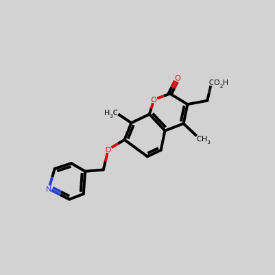 Cc1c(CC(=O)O)c(=O)oc2c(C)c(OCc3ccncc3)ccc12